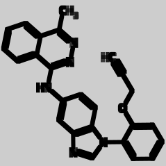 C#CCOc1ccccc1-n1cnc2cc(Nc3nnc(C)c4ccccc34)ccc21